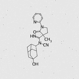 CC1(C(=N)N(C#N)C2C3CC4CC2CC(O)(C4)C3)CCN(c2ccccn2)C1=O